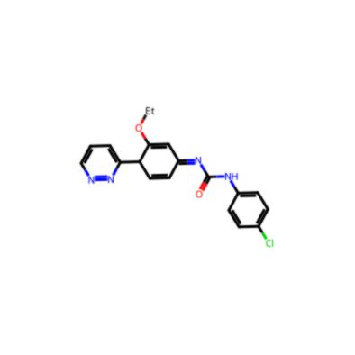 CCOC1=C/C(=N/C(=O)Nc2ccc(Cl)cc2)C=CC1c1cccnn1